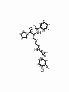 O=C(N[C@@H](CSCCNC1C[C@H]1c1ccc(Cl)c(Cl)c1)C(=O)N1CCCC1)c1ccccc1